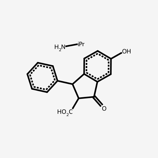 CC(C)N.O=C(O)C1C(=O)c2cc(O)ccc2C1c1ccccc1